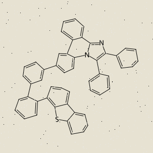 c1ccc(-c2nc3c4ccccc4c4cc(-c5cccc(-c6ccccc6-c6cccc7c6sc6ccccc67)c5)ccc4n3c2-c2ccccc2)cc1